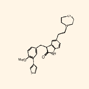 COc1ccc(CC2C(=O)Nc3ccc(CCN4CCOCC4)cc32)cc1-c1ccsc1